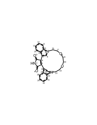 O=C1NC(=O)C2=C1c1cn(c3ccccc13)CCOCCOCCn1cc2c2ccccc21